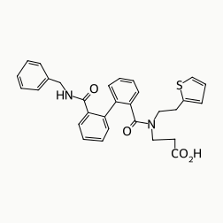 O=C(O)CCN(CCc1cccs1)C(=O)c1ccccc1-c1ccccc1C(=O)NCc1ccccc1